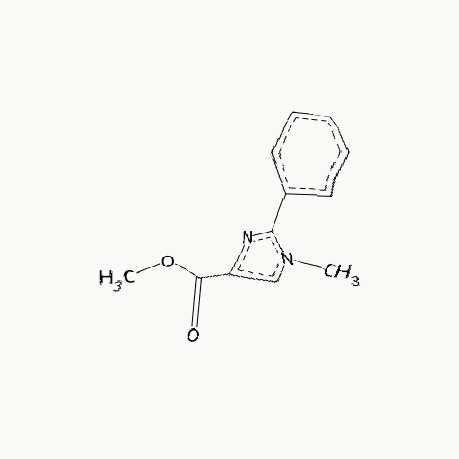 COC(=O)c1cn(C)c(-c2ccccc2)n1